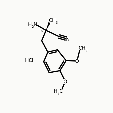 COc1ccc(C[C@](C)(N)C#N)cc1OC.Cl